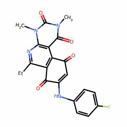 CCc1nc2c(c3c1C(=O)C(Nc1ccc(F)cc1)=CC3=O)c(=O)n(C)c(=O)n2C